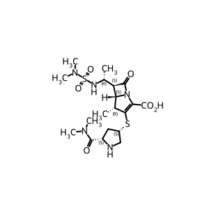 C[C@@H](NS(=O)(=O)N(C)C)[C@H]1C(=O)N2C(C(=O)O)=C(S[C@@H]3CN[C@H](C(=O)N(C)C)C3)[C@H](C)[C@H]12